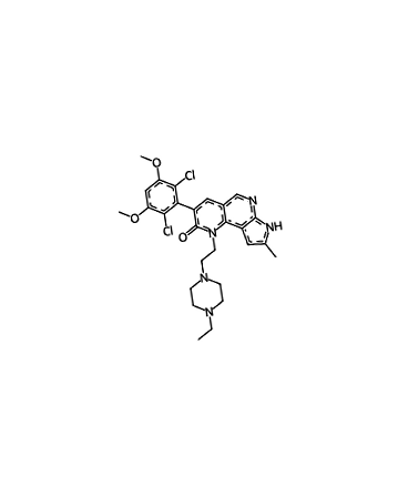 CCN1CCN(CCn2c(=O)c(-c3c(Cl)c(OC)cc(OC)c3Cl)cc3cnc4[nH]c(C)cc4c32)CC1